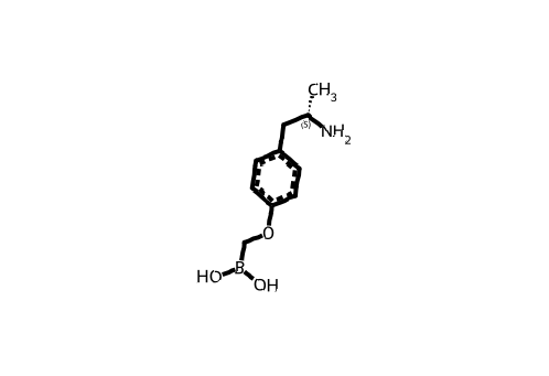 C[C@H](N)Cc1ccc(OCB(O)O)cc1